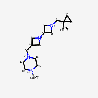 CCCC1(CN2CC(N3CC(CN4CCN(C(C)C)CC4)C3)C2)CC1